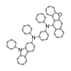 c1ccc(N(c2cccc(N(c3ccccc3)c3c4ccccc4cc4oc5ccccc5c34)c2)c2ccc3c4ccccc4n(-c4ccccc4)c3c2)cc1